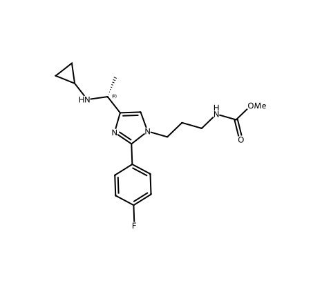 COC(=O)NCCCn1cc([C@@H](C)NC2CC2)nc1-c1ccc(F)cc1